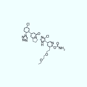 CCOCCOCCc1cc(-c2[nH]c([C@@H]3CCc4cc(-c5cc(Cl)ccc5-n5cnnn5)cc(=O)n43)nc2Cl)cnc1OC(N)=O